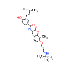 CC(C)=CCc1cc(C(=O)Nc2cc3ccc(OCCCNC(C)(C)C)c(C)c3oc2=O)ccc1O